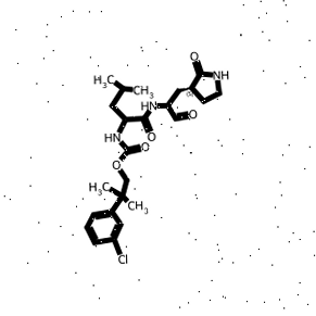 CC(C)CC(NC(=O)OCC(C)(C)c1cccc(Cl)c1)C(=O)NC(C=O)C[C@@H]1CCNC1=O